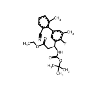 CCOC(=O)C[C@H](NC(=O)OC(C)(C)C)c1cc(-c2c(C)cccc2C#N)cc(C)c1F